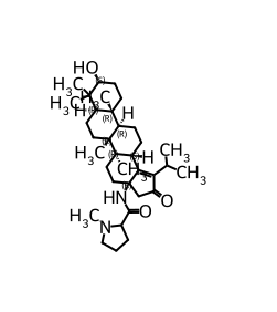 CC(C)C1=C2[C@H]3CC[C@@H]4[C@@]5(C)CC[C@H](O)C(C)(C)[C@@H]5CC[C@@]4(C)[C@]3(C)CC[C@@]2(NC(=O)C2CCCN2C)CC1=O